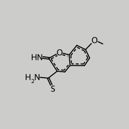 COc1ccc2cc(C(N)=S)c(=N)oc2c1